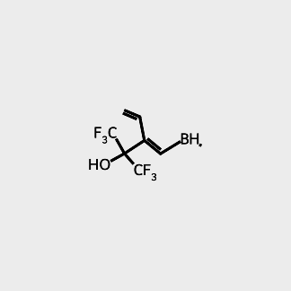 C=C/C(=C\BC)C(O)(C(F)(F)F)C(F)(F)F